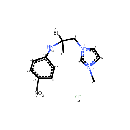 CCC(C)(C[n+]1ccn(C)c1)Nc1ccc([N+](=O)[O-])cc1.[Cl-]